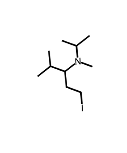 CC(C)C(CCI)N(C)C(C)C